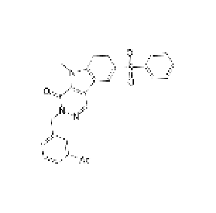 CC(=O)c1cccc(Cn2ncc3c4cc(S(=O)(=O)c5ccccc5)ccc4n(C)c3c2=O)c1